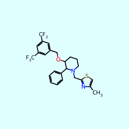 Cc1csc(CN2CCCC(OCc3cc(C(F)(F)F)cc(C(F)(F)F)c3)C2c2ccccc2)n1